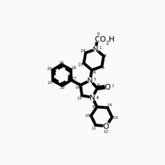 O=C(O)N1CCC(N2C(=O)N(C3CCOCC3)CC2c2ccccc2)CC1